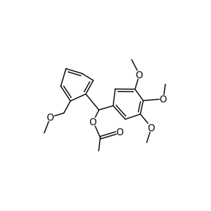 COCc1ccccc1C(OC(C)=O)c1cc(OC)c(OC)c(OC)c1